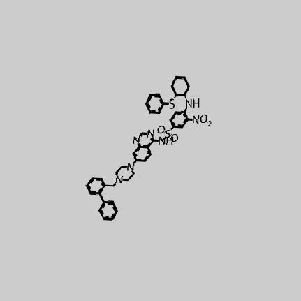 O=[N+]([O-])c1cc(S(=O)(=O)Nc2ncnc3cc(N4CCN(Cc5ccccc5-c5ccccc5)CC4)ccc23)ccc1N[C@H]1CCCC[C@H]1Sc1ccccc1